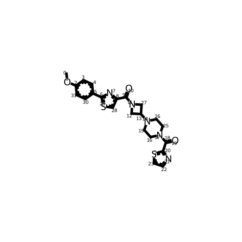 COc1ccc(-c2nc(C(=O)N3CC(N4CCN(C(=O)c5nccs5)CC4)C3)cs2)cc1